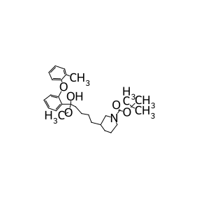 COC(O)(CCCCC1CCCN(C(=O)OC(C)(C)C)C1)c1ccccc1Oc1ccccc1C